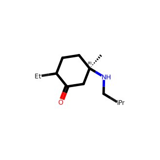 CCC1CC[C@@](C)(NCC(C)C)CC1=O